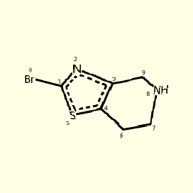 Brc1nc2c(s1)CCNC2